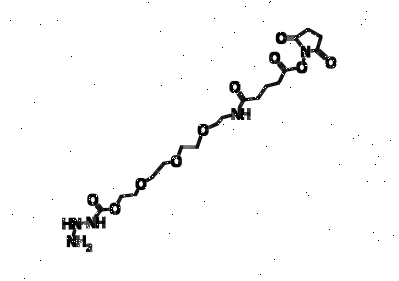 NNNC(=O)OCCOCCOCCOCCNC(=O)CCCC(=O)ON1C(=O)CCC1=O